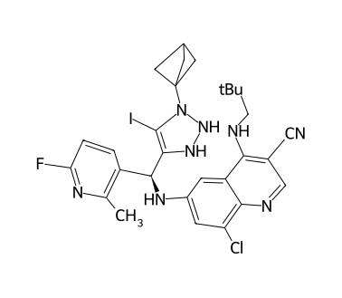 Cc1nc(F)ccc1[C@H](Nc1cc(Cl)c2ncc(C#N)c(NCC(C)(C)C)c2c1)C1=C(I)N(C23CC(C2)C3)NN1